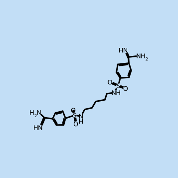 N=C(N)c1ccc(S(=O)(=O)NCCCCCNS(=O)(=O)c2ccc(C(=N)N)cc2)cc1